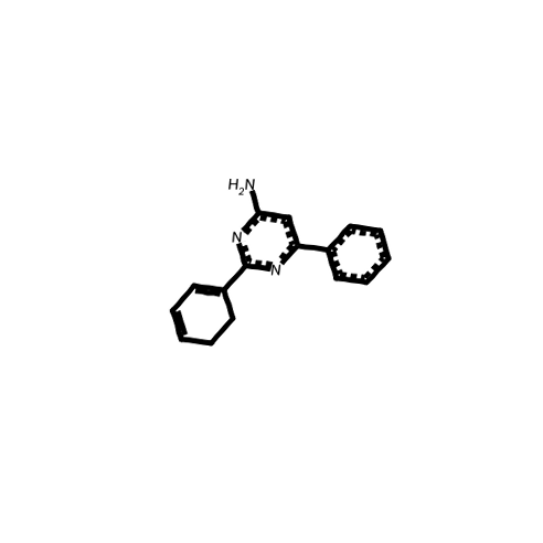 Nc1cc(-c2ccccc2)nc(C2=CC=CCC2)n1